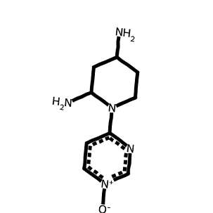 NC1CCN(c2cc[n+]([O-])cn2)C(N)C1